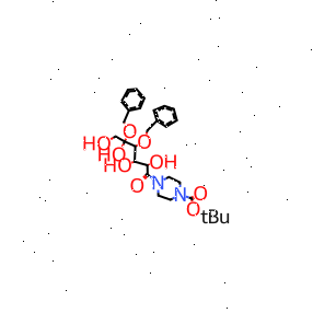 CC(C)(C)OC(=O)N1CCN(C(=O)[C@H](O)[C@@H](O)[C@H](OCc2ccccc2)C(O)(CO)OCc2ccccc2)CC1